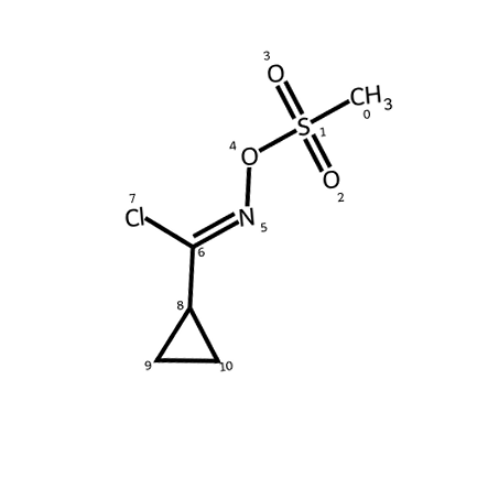 CS(=O)(=O)ON=C(Cl)C1CC1